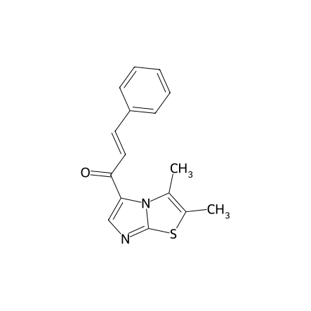 Cc1sc2ncc(C(=O)C=Cc3ccccc3)n2c1C